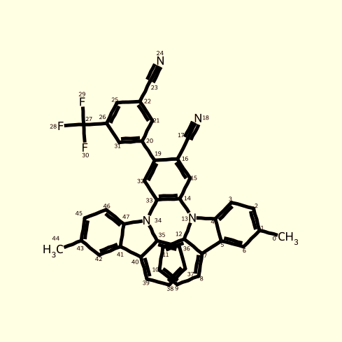 Cc1ccc2c(c1)c1ccccc1n2-c1cc(C#N)c(-c2cc(C#N)cc(C(F)(F)F)c2)cc1-n1c2ccccc2c2cc(C)ccc21